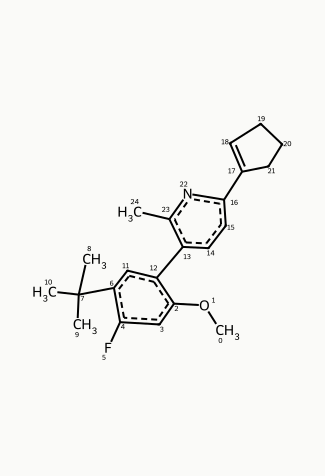 COc1cc(F)c(C(C)(C)C)cc1-c1ccc(C2=CCCC2)nc1C